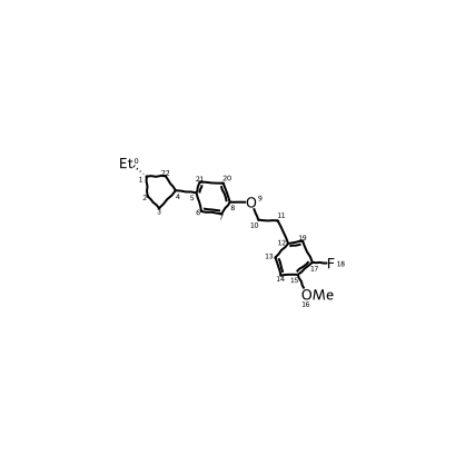 CC[C@H]1CCC(c2ccc(OCCc3ccc(OC)c(F)c3)cc2)C1